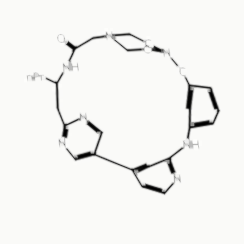 CCCC1Cc2ncc(cn2)-c2ccnc(c2)Nc2cccc(c2)CN2CCN(CC2)CC(=O)N1